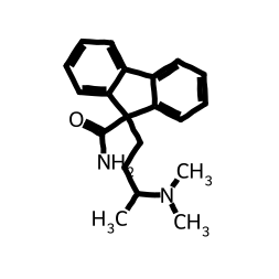 CC(CCC1(C(N)=O)c2ccccc2-c2ccccc21)N(C)C